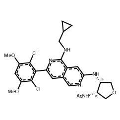 COc1cc(OC)c(Cl)c(-c2cc3cnc(N[C@@H]4COC[C@@H]4NC(C)=O)cc3c(NCC3CC3)n2)c1Cl